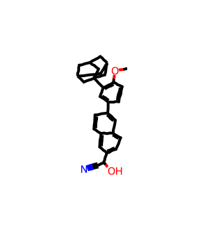 COc1ccc(-c2ccc3cc(C(O)C#N)ccc3c2)cc1C12CC3CC(CC(C3)C1)C2